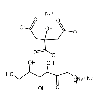 O=C(CO)C(O)C(O)C(O)CO.O=C([O-])CC(O)(CC(=O)[O-])C(=O)[O-].[Na+].[Na+].[Na+]